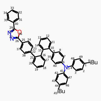 CCC(C)c1ccc(N(c2ccc(-c3ccccc3-c3ccccc3-c3ccc(-c4nnc(-c5ccccc5)o4)cc3)cc2)c2ccc(C(C)CC)cc2)cc1